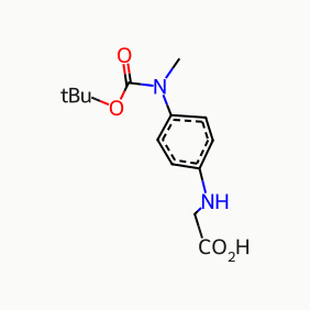 CN(C(=O)OC(C)(C)C)c1ccc(NCC(=O)O)cc1